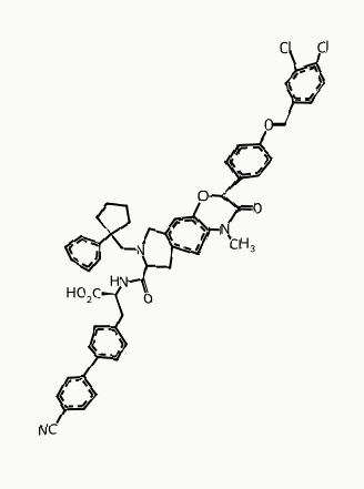 CN1C(=O)[C@H](c2ccc(OCc3ccc(Cl)c(Cl)c3)cc2)Oc2cc3c(cc21)CC(C(=O)N[C@@H](Cc1ccc(-c2ccc(C#N)cc2)cc1)C(=O)O)N(CC1(c2ccccc2)CCCC1)C3